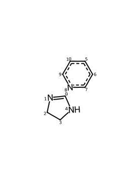 C1=NCCN1.c1ccncc1